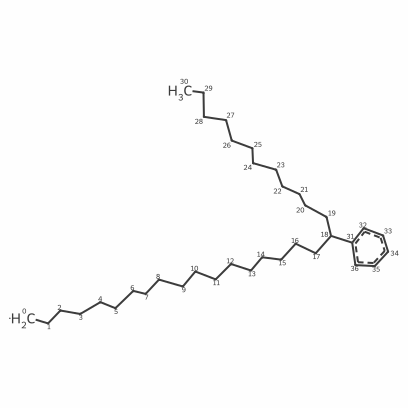 [CH2]CCCCCCCCCCCCCCCCCC(CCCCCCCCCCCC)c1ccccc1